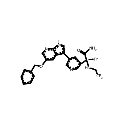 CC(C)[C@](NCC(F)(F)F)(C(N)=O)c1cncc(-c2c[nH]c3ncc(OCc4ccccc4)cc23)c1